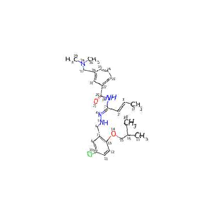 C/C=C/C(=N\NCc1cc(Cl)ccc1OCC(C)C)NC(=O)c1cccc(CN(C)C)c1